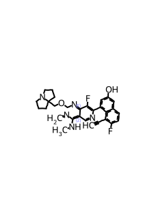 C#Cc1c(F)ccc2cc(O)cc(C3=C(F)C(=N/COCC45CCCN4CCC5)/C(=C(\N=C)NC)C=N3)c12